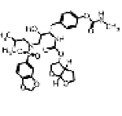 CNC(=O)Oc1ccc(C[C@H](NC(=O)O[C@H]2CO[C@H]3OCC[C@H]32)[C@H](O)CN(CC(C)C)S(=O)(=O)c2ccc3c(c2)OCO3)cc1